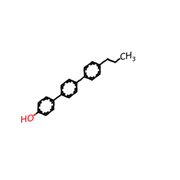 CCCc1ccc(-c2ccc(-c3ccc(O)cc3)cc2)cc1